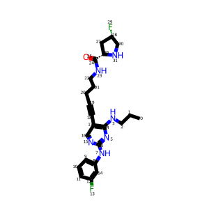 CCCNc1nc(Nc2cccc(F)c2)ncc1C#CCCCNC(=O)[C@@H]1C[C@H](F)CN1